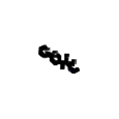 C=C(/C(F)=C(F)\C=C/C)C1CCC(C2CCCCC2)OC1